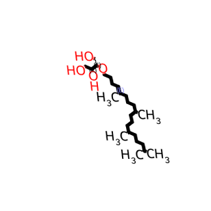 C/C(=C\CCCO[C@@H](CO)[C@H](O)CO)CCCC(C)CCCC(C)CCCC(C)C